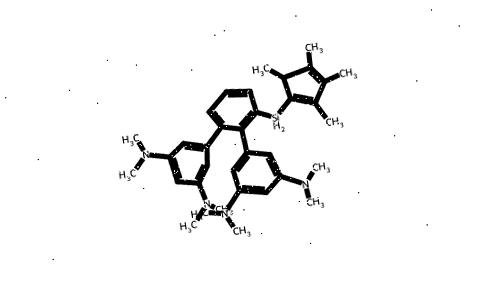 CC1=C(C)C(C)C([SiH2]c2cccc(-c3cc(N(C)C)cc(N(C)C)c3)c2-c2cc(N(C)C)cc(N(C)C)c2)=C1C